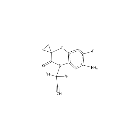 [2H]C([2H])(C#C)N1C(=O)C2(CC2)Oc2cc(F)c(N)cc21